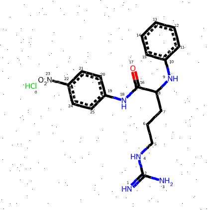 Cl.N=C(N)NCCCC(Nc1ccccc1)C(=O)Nc1ccc([N+](=O)[O-])cc1